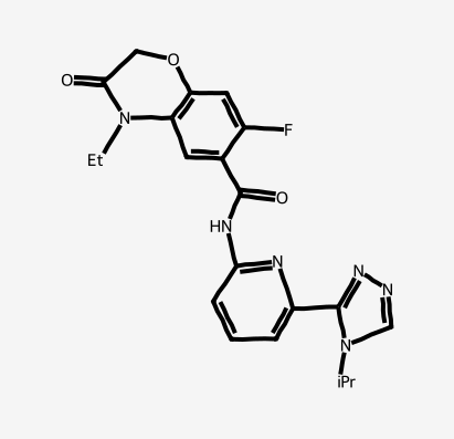 CCN1C(=O)COc2cc(F)c(C(=O)Nc3cccc(-c4nncn4C(C)C)n3)cc21